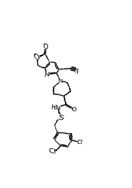 N#Cc1cc2c(nc1N1CCC(C(=O)NSCc3cc(Cl)cc(Cl)c3)CC1)COC2=O